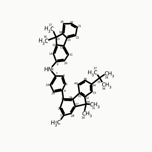 Cc1cc(-c2ccc(Nc3ccc4c(c3)C(C)(C)c3ccccc3-4)cc2)c2c(c1)C(C)(C)c1cc(C(C)(C)C)ccc1-2